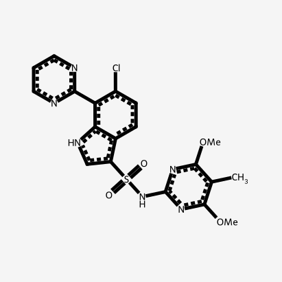 COc1nc(NS(=O)(=O)c2c[nH]c3c(-c4ncccn4)c(Cl)ccc23)nc(OC)c1C